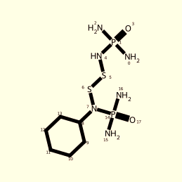 NP(N)(=O)NSSN(C1CCCCC1)P(N)(N)=O